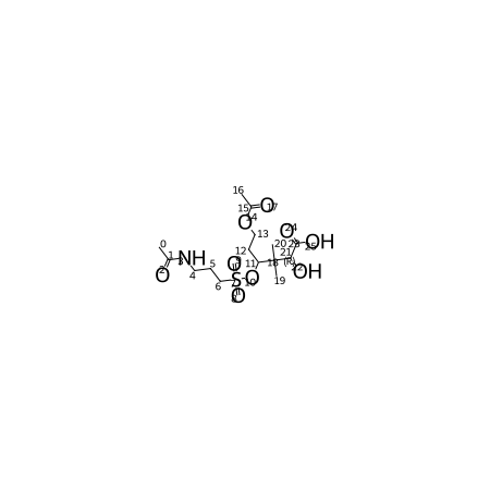 CC(=O)NCCCS(=O)(=O)OC(CCOC(C)=O)C(C)(C)[C@@H](O)C(=O)O